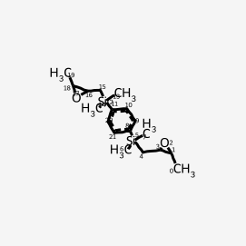 CC1OC1C[Si](C)(C)c1ccc([Si](C)(C)CC2OC2C)cc1